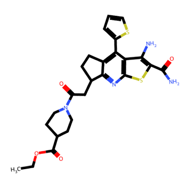 CCOC(=O)C1CCN(C(=O)CC2CCc3c2nc2sc(C(N)=O)c(N)c2c3-c2cccs2)CC1